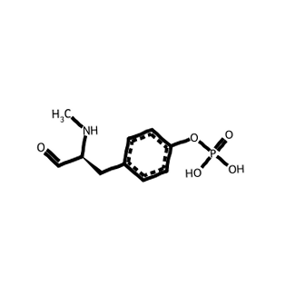 CN[C@H](C=O)Cc1ccc(OP(=O)(O)O)cc1